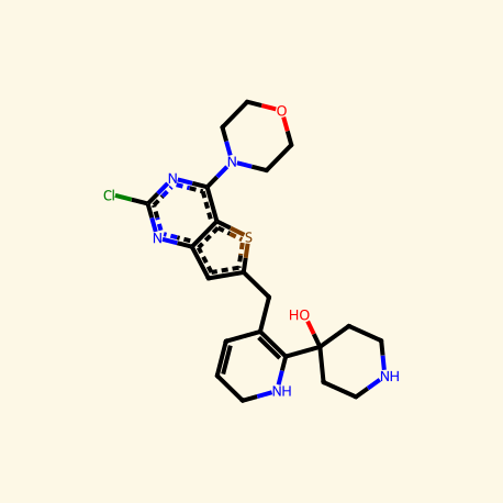 OC1(C2=C(Cc3cc4nc(Cl)nc(N5CCOCC5)c4s3)C=CCN2)CCNCC1